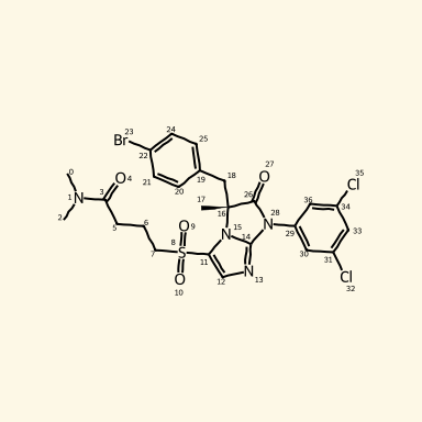 CN(C)C(=O)CCCS(=O)(=O)c1cnc2n1[C@](C)(Cc1ccc(Br)cc1)C(=O)N2c1cc(Cl)cc(Cl)c1